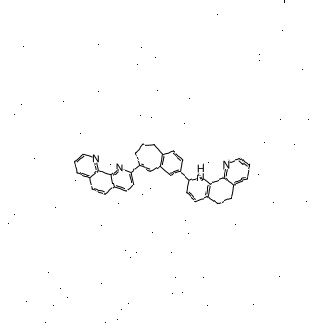 C1=CC(c2ccc3c(c2)C=C(c2ccc4ccc5cccnc5c4n2)CCC3)NC2=C1CCc1cccnc12